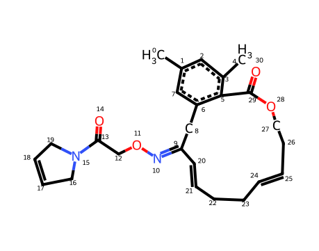 Cc1cc(C)c2c(c1)CC(=N\OCC(=O)N1CC=CC1)/C=C/CC/C=C/CCOC2=O